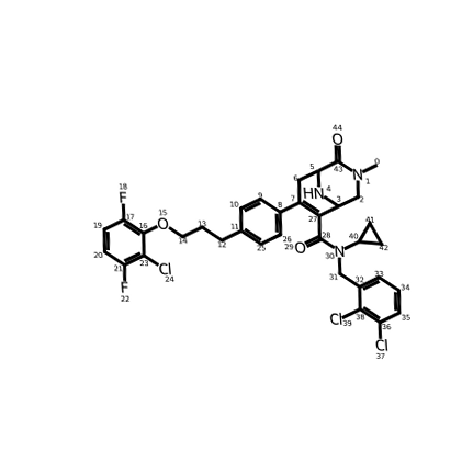 CN1CC2NC(CC(c3ccc(CCCOc4c(F)ccc(F)c4Cl)cc3)=C2C(=O)N(Cc2cccc(Cl)c2Cl)C2CC2)C1=O